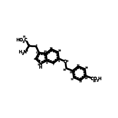 NC(Cc1c[nH]c2cc(OCc3ccc(C(=O)O)cc3)ccc12)C(=O)O